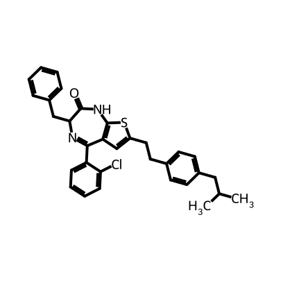 CC(C)Cc1ccc(CCc2cc3c(s2)NC(=O)C(Cc2ccccc2)N=C3c2ccccc2Cl)cc1